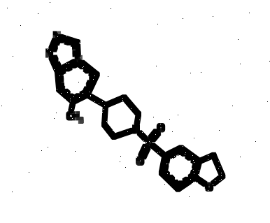 Cc1cc2nncn2cc1C1CCN(S(=O)(=O)c2ccc3c(c2)CCO3)CC1